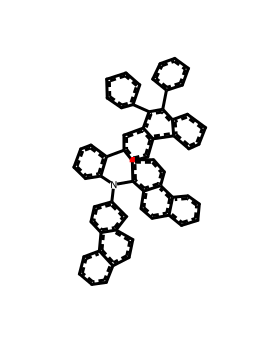 c1ccc(-c2c(-c3ccccc3)c3cc(-c4ccccc4N(c4ccc5c(ccc6ccccc65)c4)c4cccc5c4ccc4ccccc45)ccc3c3ccccc23)cc1